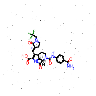 NC(=O)c1ccc(NC(=O)N2CCC3C(/C=C4\CCN(CC(F)(F)F)C4=O)=C(C(=O)O)N4C(=O)[C@@H]2[C@@H]34)cc1